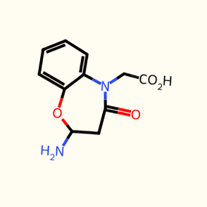 NC1CC(=O)N(CC(=O)O)c2ccccc2O1